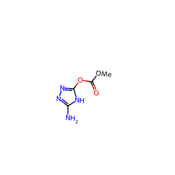 COC(=O)Oc1nnc(N)[nH]1